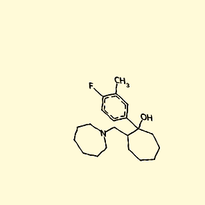 Cc1cc(C2(O)CCCCCC2CN2CCCCCC2)ccc1F